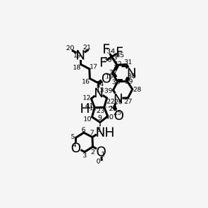 COC1COCCC1N[C@@H]1C[C@H]2CN(C(=O)CCCN(C)C)C[C@@]2(C(=O)N2CCc3ncc(C(F)(F)F)cc3C2)C1